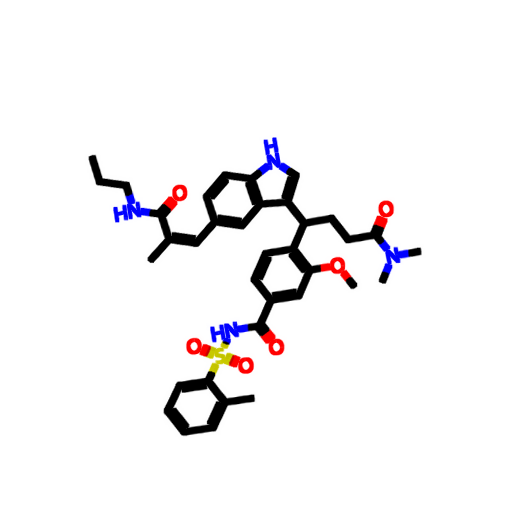 CCCNC(=O)C(C)=Cc1ccc2[nH]cc(C(CCC(=O)N(C)C)c3ccc(C(=O)NS(=O)(=O)c4ccccc4C)cc3OC)c2c1